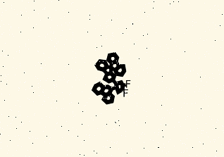 Fc1cc(-c2ccc3c(c2)C2(c4ccccc4-c4ccccc42)c2ccccc2-3)c(-c2cc3ccccc3c3ccccc23)cc1F